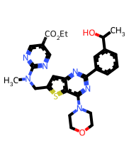 CCOC(=O)c1cnc(N(C)Cc2cc3nc(-c4cccc(C(C)O)c4)nc(N4CCOCC4)c3s2)nc1